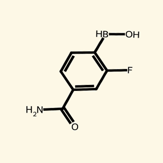 NC(=O)c1ccc(BO)c(F)c1